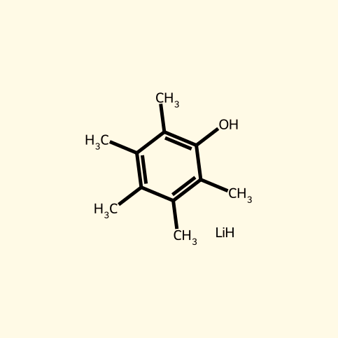 Cc1c(C)c(C)c(O)c(C)c1C.[LiH]